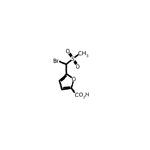 CS(=O)(=O)C(Br)c1ccc(C(=O)O)o1